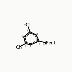 [CH2]C(CCC)c1cc(Cl)cc(Cl)c1